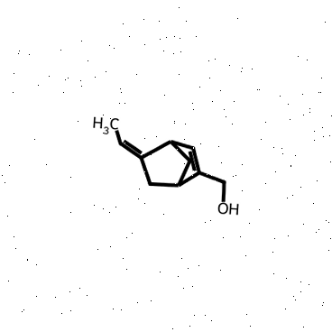 CC=C1CC2CC1C=C2CO